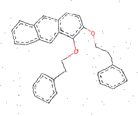 c1ccc(CCOc2ccc3cc4ccccc4cc3c2OCCc2ccccc2)cc1